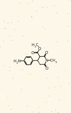 COC(=O)C1C(=O)N(C)C(=O)CC1c1ccc(N)cc1